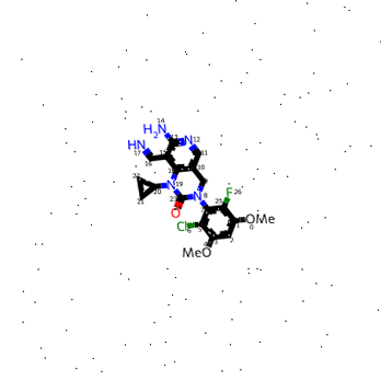 COc1cc(OC)c(Cl)c(N2Cc3cnc(N)c(C=N)c3N(C3CC3)C2=O)c1F